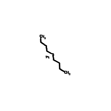 CCCCSCCCC.[Pt]